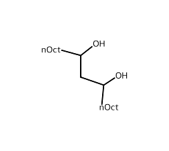 CCCCCCCCC(O)CC(O)CCCCCCCC